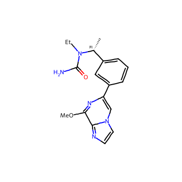 CCN(C(N)=O)[C@H](C)c1cccc(-c2cn3ccnc3c(OC)n2)c1